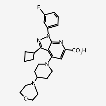 O=C(O)c1cc(N2CCC(N3CCOCC3)CC2)c2c(C3CCC3)nn(-c3cccc(F)c3)c2n1